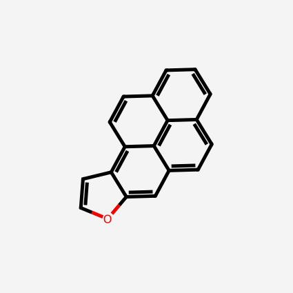 c1cc2ccc3cc4occc4c4ccc(c1)c2c34